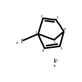 IC12C=CC(C=C1)C2.[Ir]